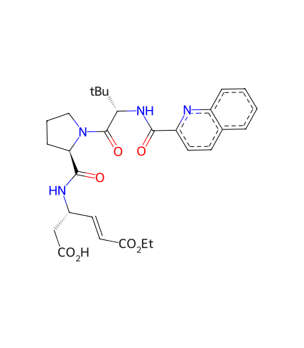 CCOC(=O)/C=C/[C@H](CC(=O)O)NC(=O)[C@H]1CCCN1C(=O)[C@@H](NC(=O)c1ccc2ccccc2n1)C(C)(C)C